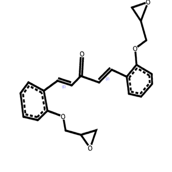 O=C(/C=C/c1ccccc1OCC1CO1)/C=C/c1ccccc1OCC1CO1